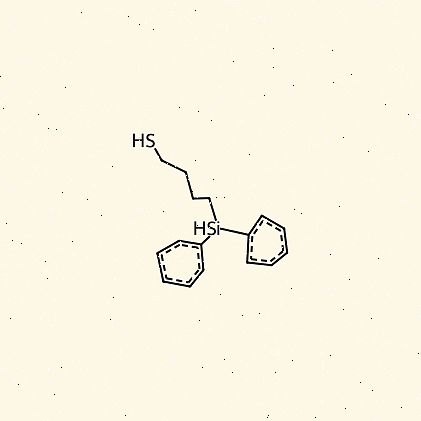 SCCCC[SiH](c1ccccc1)c1ccccc1